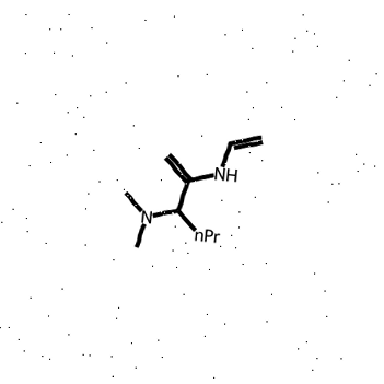 C=CNC(=C)C(CCC)N(C)C